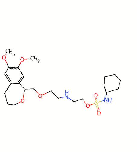 COc1cc2c(cc1OC)C(COCCNCCOS(=O)(=O)NC1CCCCC1)OCCC2